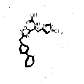 Cn1cnc(C[C@H](NC(=O)O)c2nc(Cc3ccc(-c4ccccc4)cc3)no2)c1